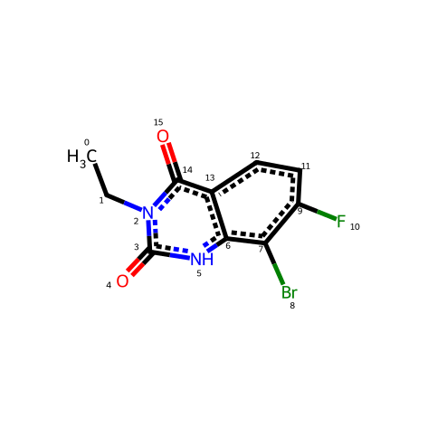 CCn1c(=O)[nH]c2c(Br)c(F)ccc2c1=O